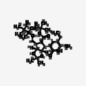 C=Cc1cc(C2[C@@H]3OC(C)(C)O[C@@H]3[C@@H](CO[Si](C)(C)C(C)(C)C)N2C(=O)OC(C)(C)C)c(=O)[nH]c1N